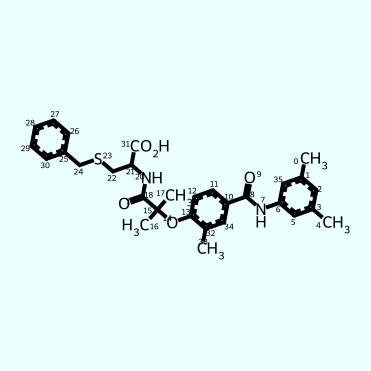 Cc1cc(C)cc(NC(=O)c2ccc(OC(C)(C)C(=O)NC(CSCc3ccccc3)C(=O)O)c(C)c2)c1